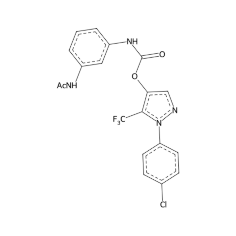 CC(=O)Nc1cccc(NC(=O)Oc2cnn(-c3ccc(Cl)cc3)c2C(F)(F)F)c1